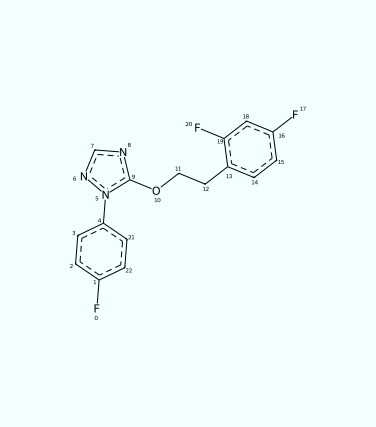 Fc1ccc(-n2ncnc2OCCc2ccc(F)cc2F)cc1